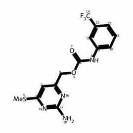 CSc1cc(COC(=O)Nc2cccc(C(F)(F)F)c2)nc(N)n1